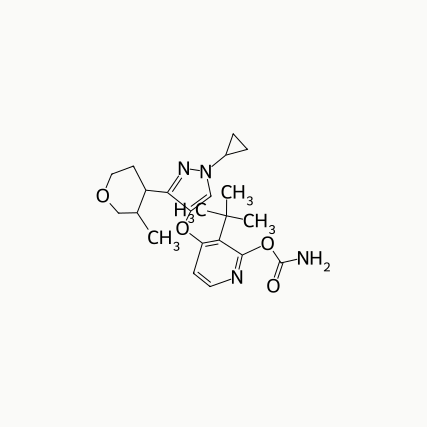 CC1COCCC1c1nn(C2CC2)cc1Oc1ccnc(OC(N)=O)c1C(C)(C)C